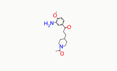 COc1ccc(C(=O)CCC2CCN(C(C)=O)CC2)cc1N